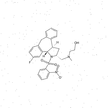 CN(CCO)C[C@H]1C[C@@H]2c3ccccc3Cc3ccc(F)cc3[C@H]2N1S(=O)(=O)c1ccccc1[N+](=O)[O-]